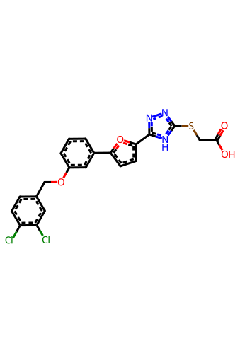 O=C(O)CSc1nnc(-c2ccc(-c3cccc(OCc4ccc(Cl)c(Cl)c4)c3)o2)[nH]1